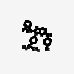 CCc1ccc(Nc2ncc3nc(Nc4ccccc4F)n(C4CCC(N(C)C)CC4)c3n2)cc1